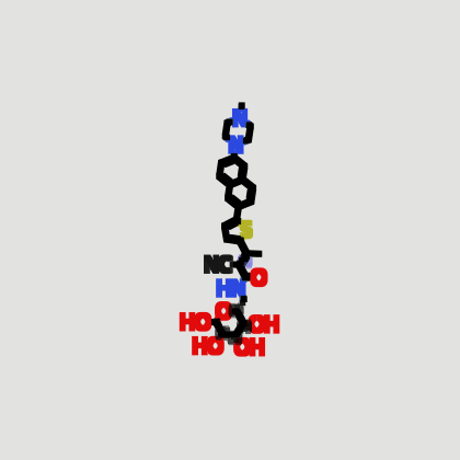 C/C(=C(/C#N)C(=O)NC[C@H]1OC(O)[C@H](O)[C@@H](O)[C@@H]1O)c1ccc(-c2ccc3cc(N4CCN(C)CC4)ccc3c2)s1